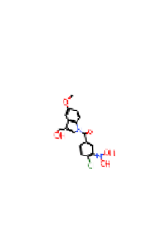 COc1ccc2c(c1)c(CO)cn2C(=O)c1ccc(Cl)c(N(O)O)c1